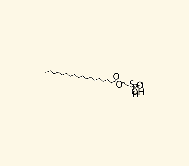 CCCCCCCCCCCCCCCCCC(=O)OCCS[PH](=O)O